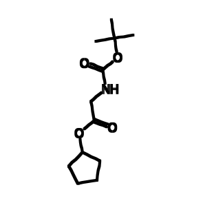 CC(C)(C)OC(=O)NCC(=O)OC1CCCC1